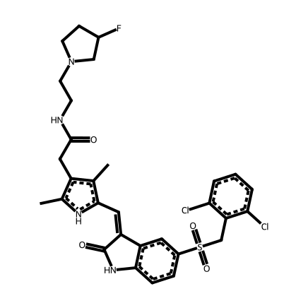 Cc1[nH]c(/C=C2\C(=O)Nc3ccc(S(=O)(=O)Cc4c(Cl)cccc4Cl)cc32)c(C)c1CC(=O)NCCN1CCC(F)C1